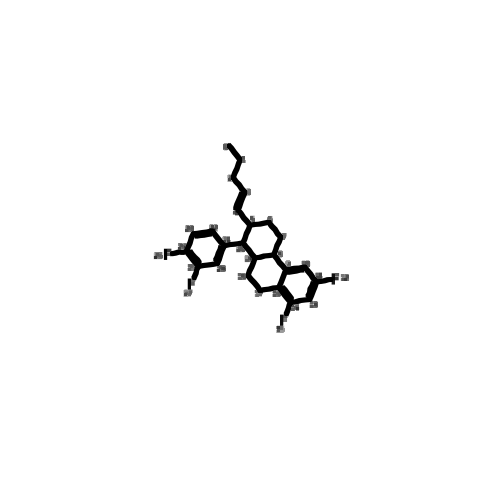 CCCC=CC1CCC2c3cc(F)cc(F)c3CCC2C1c1ccc(F)c(F)c1